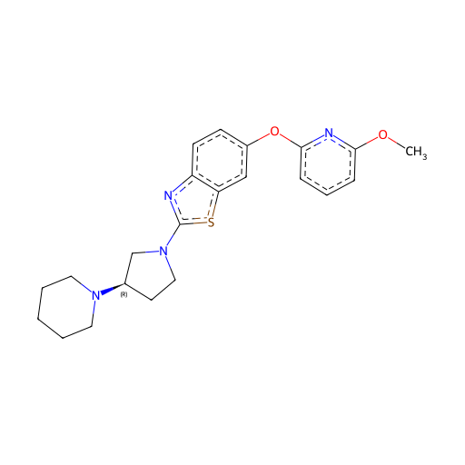 COc1cccc(Oc2ccc3nc(N4CC[C@@H](N5CCCCC5)C4)sc3c2)n1